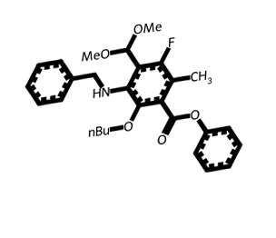 CCCCOc1c(NCc2ccccc2)c(C(OC)OC)c(F)c(C)c1C(=O)Oc1ccccc1